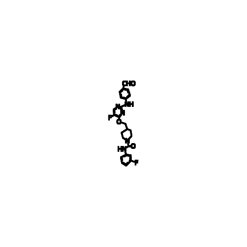 O=Cc1ccc(Nc2ncc(F)c(OCC3CCN(C(=O)Nc4cccc(F)c4)CC3)n2)cc1